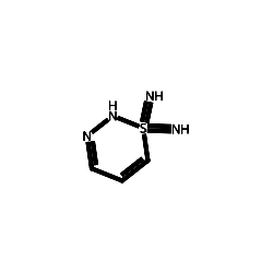 N=S1(=N)C=CC=NN1